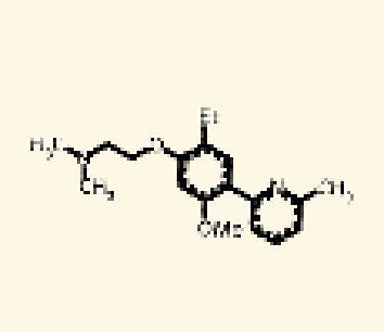 CCc1cc(-c2cccc(C)n2)c(OC)cc1OCCN(C)C